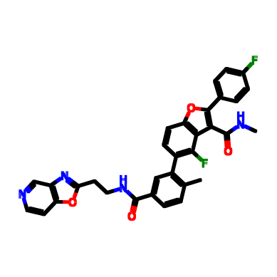 CNC(=O)c1c(-c2ccc(F)cc2)oc2ccc(-c3cc(C(=O)NCCc4nc5cnccc5o4)ccc3C)c(F)c12